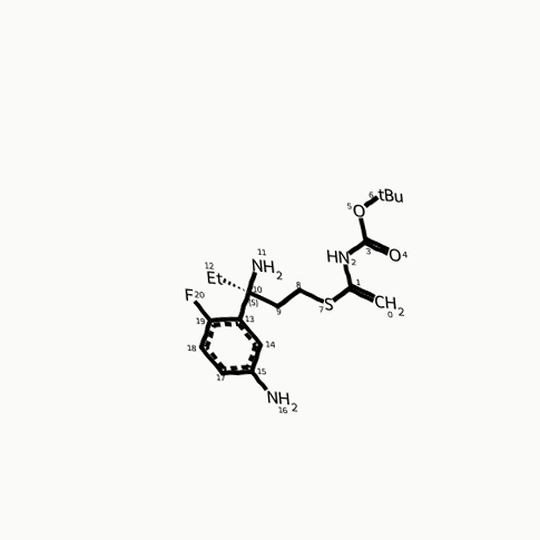 C=C(NC(=O)OC(C)(C)C)SCC[C@@](N)(CC)c1cc(N)ccc1F